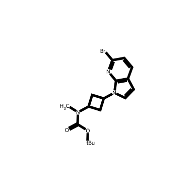 CN(C(=O)OC(C)(C)C)C1CC(n2ccc3ccc(Br)nc32)C1